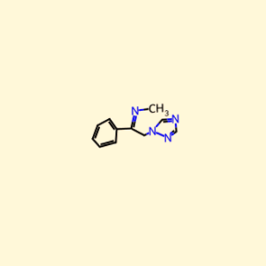 CN=C(Cn1cncn1)c1ccccc1